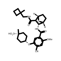 COc1cc(C#N)c(O[C@H]2CC[C@@](C)(C(=O)O)CC2)cc1C(=O)N[C@@H]1C(C(=O)NCC2(C)CCC2)[C@@H]2CC[C@H]1O2